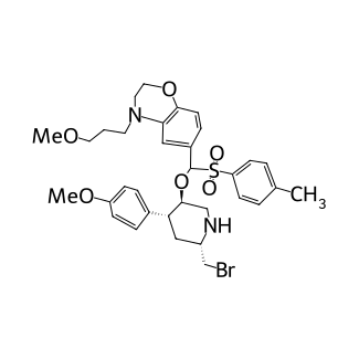 COCCCN1CCOc2ccc(C(O[C@H]3CN[C@H](CBr)C[C@@H]3c3ccc(OC)cc3)S(=O)(=O)c3ccc(C)cc3)cc21